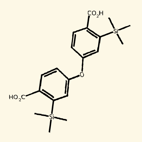 C[Si](C)(C)c1cc(Oc2ccc(C(=O)O)c([Si](C)(C)C)c2)ccc1C(=O)O